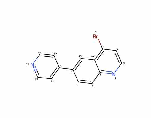 Brc1ccnc2ccc(-c3ccncc3)cc12